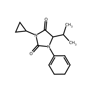 CC(C)C1C(=O)N(C2CC2)C(=O)N1C1=CCCC=C1